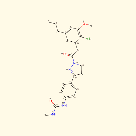 CCCC1=CC(OC)=C(Cl)C(CC(=O)N2CCC(c3ccc(NC(=O)NC)cc3)=N2)C1